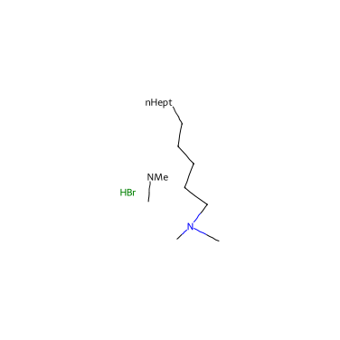 Br.CCCCCCCCCCCCN(C)C.CNC